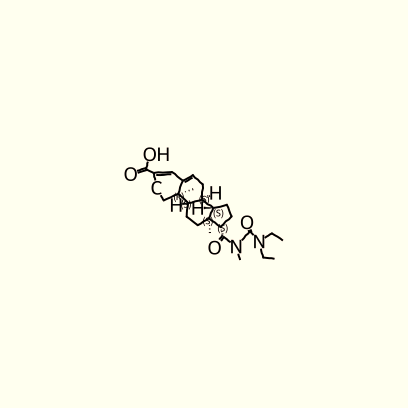 CCN(CC)C(=O)N(C)C(=O)[C@H]1CC[C@H]2[C@@H]3CC=C4C=C(C(=O)O)CC[C@]4(C)[C@H]3CC[C@]12C